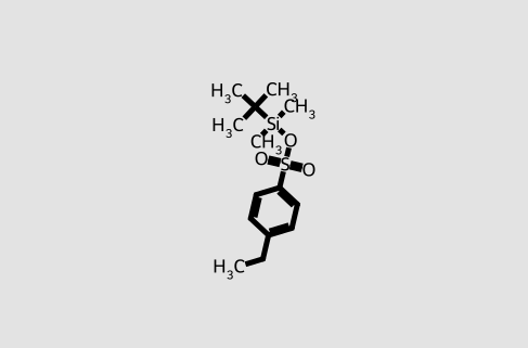 CCc1ccc(S(=O)(=O)O[Si](C)(C)C(C)(C)C)cc1